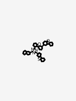 c1ccc2cc(-c3nc(-c4ccc5c(c4)sc4ccccc45)nc(-c4cccc5oc6c(-c7ccc8oc9ccccc9c8c7)cccc6c45)n3)ccc2c1